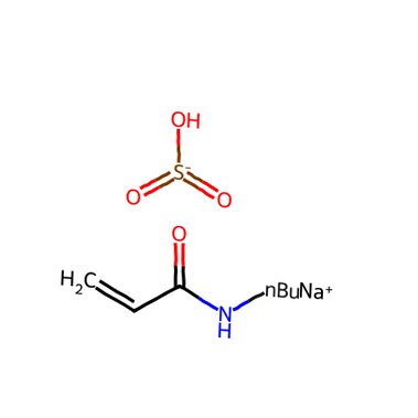 C=CC(=O)NCCCC.O=[S-](=O)O.[Na+]